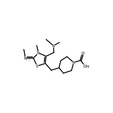 C/N=c1/sc(CC2CCN(C(=O)O)CC2)c(CN(C)C)n1C